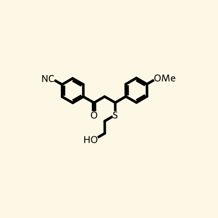 COc1ccc(C(CC(=O)c2ccc(C#N)cc2)SCCO)cc1